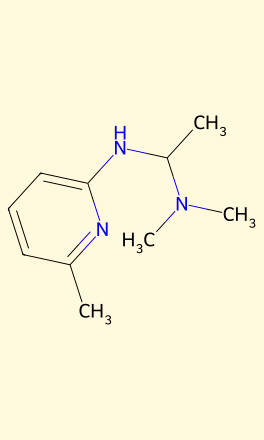 Cc1cccc(NC(C)N(C)C)n1